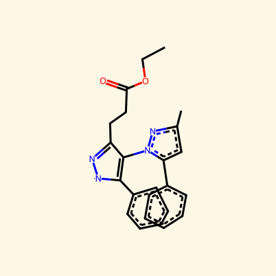 CCOC(=O)CCC1=N[N]C(c2ccccc2)=C1n1nc(C)cc1-c1ccccc1